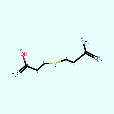 C=C(C)CCSCCC(=C)O